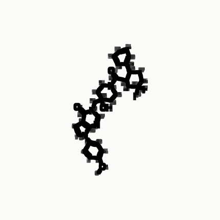 COc1ccc(-n2ccc3c(=O)n(CC4(O)CCN(C(=O)C5CC(F)(F)CCC5c5ccccc5)CC4)cnc32)cc1